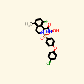 Cc1ccc(F)c2c1CCN(S(=O)(=O)c1ccc(Oc3ccc(Cl)cc3)cc1)C2C(=O)NO